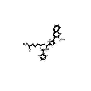 COc1nc2ccccc2cc1-c1cnc([C@H](CCCCCC(N)=O)NC(=O)c2cncs2)[nH]1